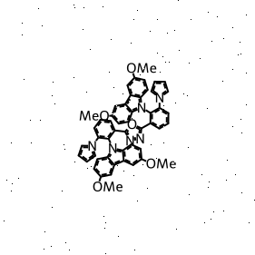 COc1ccc2c(c1)c1cc(OC)ccc1n2-c1c(-c2nnc(-c3cccc(-n4cccc4)c3-n3c4ccc(OC)cc4c4cc(OC)ccc43)o2)cccc1-n1cccc1